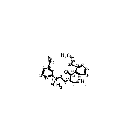 CCN(CCN(C)c1cc(C#N)ccn1)C(=O)c1ccccc1COC